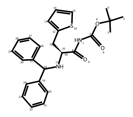 CC(C)(C)OC(=O)NC(=O)[C@H](Cc1cccs1)NC(c1ccccc1)c1ccccc1